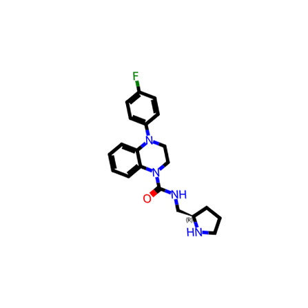 O=C(NC[C@H]1CCCN1)N1CCN(c2ccc(F)cc2)c2ccccc21